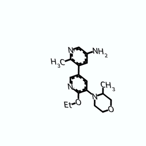 CCOc1ncc(-c2cc(N)cnc2C)cc1N1CCOCC1C